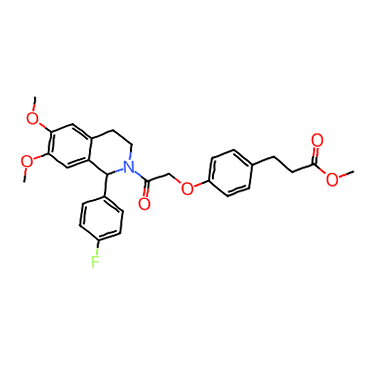 COC(=O)CCc1ccc(OCC(=O)N2CCc3cc(OC)c(OC)cc3C2c2ccc(F)cc2)cc1